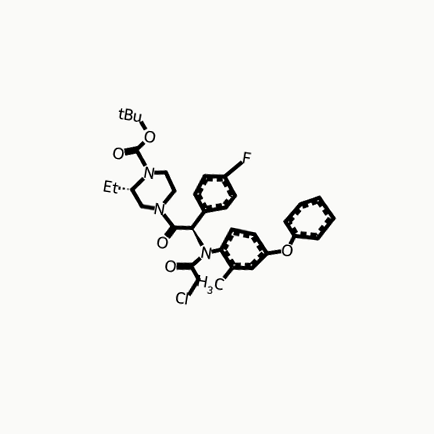 CC[C@H]1CN(C(=O)[C@@H](c2ccc(F)cc2)N(C(=O)CCl)c2ccc(Oc3ccccc3)cc2C)CCN1C(=O)OC(C)(C)C